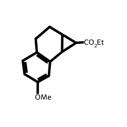 CCOC(=O)C1C2CCc3ccc(OC)cc3C21